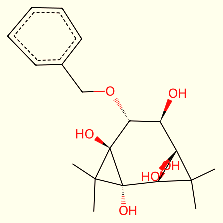 CC1(C)[C@]2(O)[C@@]3(O)C(C)(C)[C@@]3(O)[C@H](O)[C@@H](OCc3ccccc3)[C@@]12O